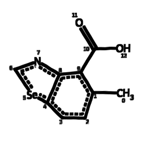 Cc1ccc2[se]cnc2c1C(=O)O